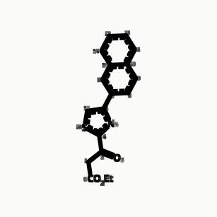 CCOC(=O)CC(=O)c1nc(-c2ccc3ccccc3c2)cs1